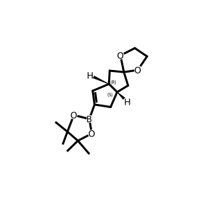 CC1(C)OB(C2=C[C@@H]3CC4(C[C@@H]3C2)OCCO4)OC1(C)C